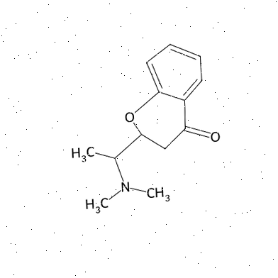 CC(C1CC(=O)c2ccccc2O1)N(C)C